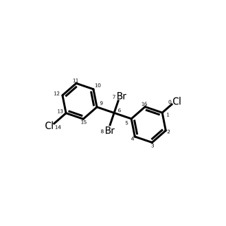 Clc1cccc(C(Br)(Br)c2cccc(Cl)c2)c1